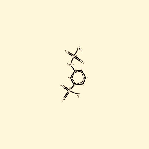 CS(=O)(=O)Nc1cccc(S(=O)(=O)Cl)c1